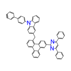 c1ccc(-c2ccc(-n3c4ccccc4c4cc(Cc5cccc6c7ccccc7c7cc(-c8nc(-c9ccccc9)cc(-c9ccccc9)n8)ccc7c56)ccc43)cc2)cc#1